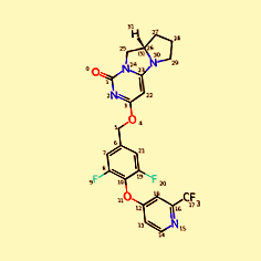 O=c1nc(OCc2cc(F)c(Oc3ccnc(C(F)(F)F)c3)c(F)c2)cc2n1C[C@@H]1CCCN21